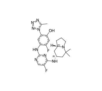 Cc1nnnn1-c1cc(Nc2ncc(F)c(N[C@@H]3C[C@@H]4CCCN4C(C)(C)C3)n2)c(F)cc1O